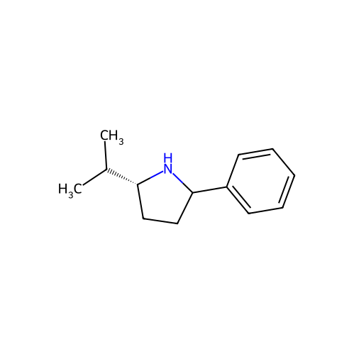 CC(C)[C@H]1CCC(c2ccccc2)N1